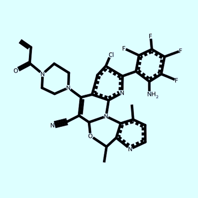 C=CC(=O)N1CCN(C2=C(C#N)C3OC(C)c4nccc(C)c4N3c3nc(-c4c(N)c(F)c(F)c(F)c4F)c(Cl)cc32)CC1